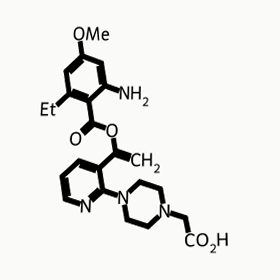 C=C(OC(=O)c1c(N)cc(OC)cc1CC)c1cccnc1N1CCN(CC(=O)O)CC1